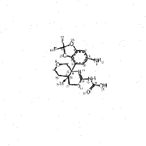 Nc1cc2c(c([C@]34COCC[C@H]3CSC(NC(=O)O)=N4)c1)OC(F)(F)O2